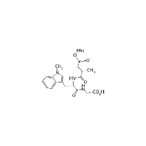 C[C@@H](CC(=O)OC(C)(C)C)C(=O)N[C@@H](Cc1cn(C)c2ccccc12)C(=O)NCC(=O)O